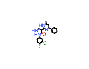 CC1=CC(c2ccccc2)=N/C(=C(/C=N)C(=O)Nc2ccc(Cl)c(Cl)c2)N1